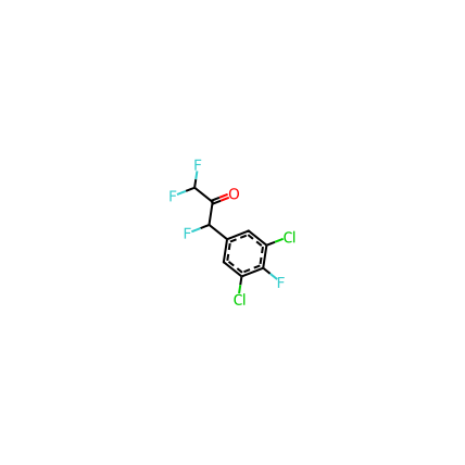 O=C(C(F)F)C(F)c1cc(Cl)c(F)c(Cl)c1